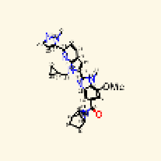 COc1cc(C(=O)N2CC3CCC2[C@@H]3C)cc2nc(-c3cc4ccc(-c5ccnn5C)nc4n3CC3CC3)n(C)c12